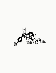 CC(C)(C)OC(=O)N[C@H](C(=O)N1CC=C[C@H]1c1nc(-c2ccc(Br)cc2)c[nH]1)C(C)(C)C